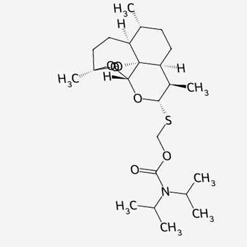 CC(C)N(C(=O)OCS[C@@H]1O[C@@H]2O[C@]3(C)CC[C@H]4[C@H](C)CC[C@@H]([C@H]1C)[C@@]24OO3)C(C)C